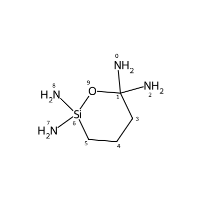 NC1(N)CCC[Si](N)(N)O1